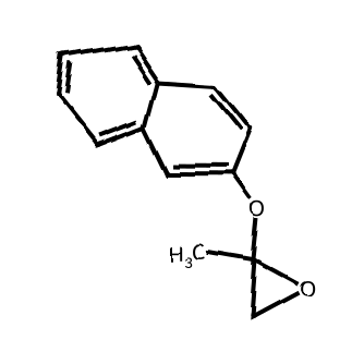 CC1(Oc2ccc3ccccc3c2)CO1